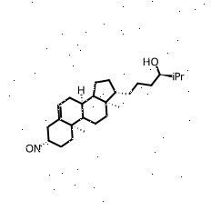 CC(C)[C@H](O)CCC[C@H]1CCC2[C@@H]3CC=C4C[C@@H](N=O)CC[C@]4(C)C3CC[C@@]21C